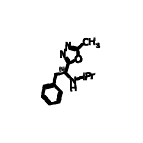 Cc1nnc([C@H](Cc2ccccc2)NC(C)C)o1